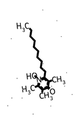 CCCCCCCCCCc1c(C)c(=O)c(C)c(C)n1O